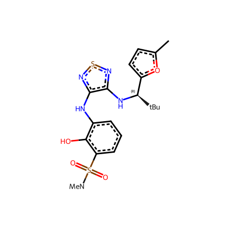 CNS(=O)(=O)c1cccc(Nc2nsnc2N[C@@H](c2ccc(C)o2)C(C)(C)C)c1O